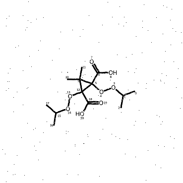 CC(C)OOC1(C(=O)O)C(C)(C)C1(OOC(C)C)C(=O)O